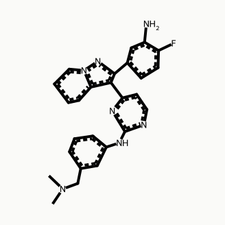 CN(C)Cc1cccc(Nc2nccc(-c3c(-c4ccc(F)c(N)c4)nn4ccccc34)n2)c1